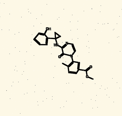 COC(=O)c1ccc(C)c(-n2ccnc(NC3(c4ccccc4O)CC3)c2=O)c1